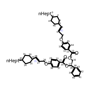 CCCCCCCC1CCC(/C=C/COc2ccc(C(=O)OC[C@H](OC(=O)c3ccc(OC/C=C/C4CCC(CCCCCCC)CC4)cc3)c3ccccc3)cc2)CC1